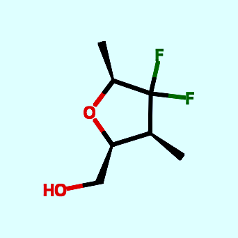 C[C@@H]1O[C@H](CO)[C@H](C)C1(F)F